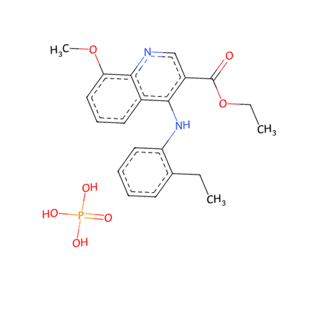 CCOC(=O)c1cnc2c(OC)cccc2c1Nc1ccccc1CC.O=P(O)(O)O